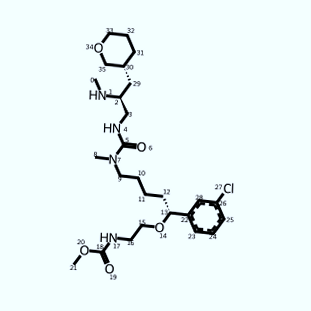 CN[C@H](CNC(=O)N(C)CCCC[C@@H](OCCNC(=O)OC)c1cccc(Cl)c1)C[C@H]1CCCOC1